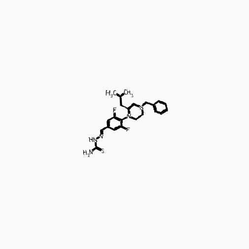 CC(C)C[C@H]1CN(Cc2ccccc2)CCN1c1c(F)cc(/C=N/NC(N)=S)cc1F